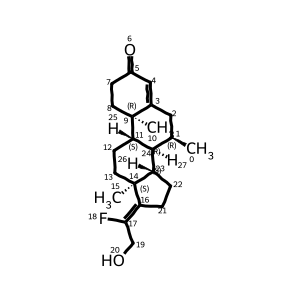 C[C@@H]1CC2=CC(=O)CC[C@]2(C)[C@H]2CC[C@]3(C)C(=C(F)CO)CC[C@H]3[C@H]12